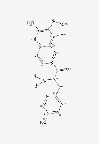 Nc1nc2ccc(C(=O)N(Cc3ccc(C(F)(F)F)nn3)C3CC3)cc2c2c1COC2